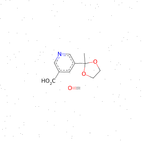 C=O.CC1(c2cncc(C(=O)O)c2)OCCO1